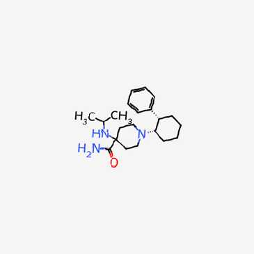 CC(C)NC1(C(N)=O)CCN([C@H]2CCCC[C@H]2c2ccccc2)CC1